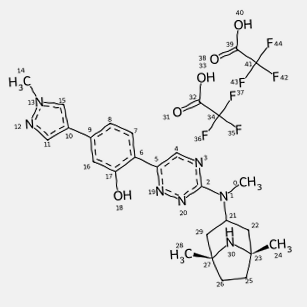 CN(c1ncc(-c2ccc(-c3cnn(C)c3)cc2O)nn1)C1C[C@]2(C)CC[C@](C)(C1)N2.O=C(O)C(F)(F)F.O=C(O)C(F)(F)F